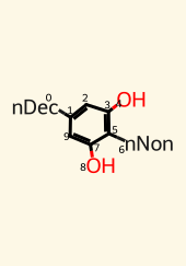 CCCCCCCCCCc1cc(O)c(CCCCCCCCC)c(O)c1